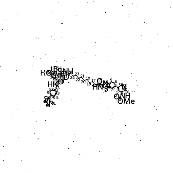 COC(=O)Nc1cc(-c2ccc3nc(NC(=O)CCCCCCCCCCC(=O)N[C@H](C(=O)N4C[C@H](O)C[C@H]4C(=O)NCc4ccc(-c5scnc5C)cc4)C(C)(C)C)sc3c2)cnc1C